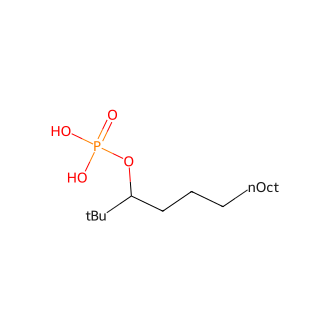 CCCCCCCCCCCC(OP(=O)(O)O)C(C)(C)C